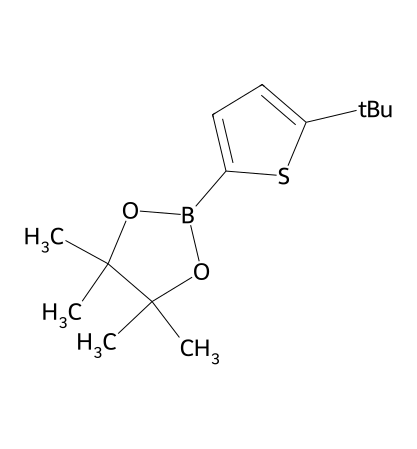 CC(C)(C)c1ccc(B2OC(C)(C)C(C)(C)O2)s1